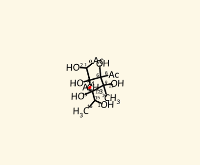 CC(=O)C(O)C(C)(O)C(O)(C(C)=O)C(C)(O)C(O)(C(C)=O)C(C)O